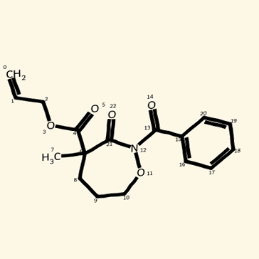 C=CCOC(=O)C1(C)CCCON(C(=O)c2ccccc2)C1=O